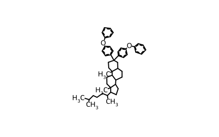 CC(C)CCCC(C)C1CCC2C3CCC4CC(c5ccc(Oc6ccccc6)cc5)(c5ccc(Oc6ccccc6)cc5)CCC4(C)C3CCC12C